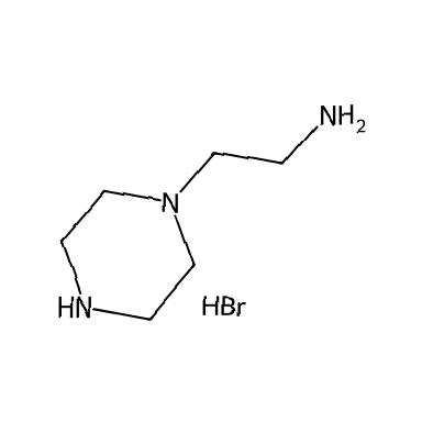 Br.NCCN1CCNCC1